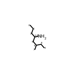 CCCC(N)CC(C)CC